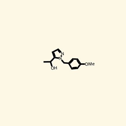 COc1ccc(Cn2nccc2C(C)O)cc1